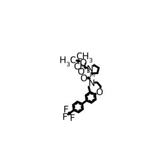 CC(C)(C)OC(=O)N1CCC[C@@H]1C(=O)N1CCOc2ccc(-c3ccc(C(F)(F)F)cc3)cc2C1